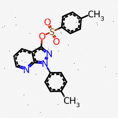 Cc1ccc(-n2nc(OS(=O)(=O)c3ccc(C)cc3)c3cccnc32)cc1